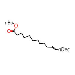 CCCCCCCCCCC=CCCCCCCCCCC(=O)OCCCC